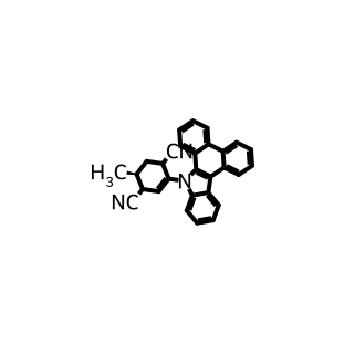 C[C@H]1CC(C#N)C(n2c3ccccc3c3c4ccccc4c4ccccc4c32)=CC1C#N